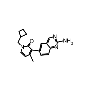 Cc1ccn(CC2CCC2)c(=O)c1-c1ccc2nc(N)ncc2c1